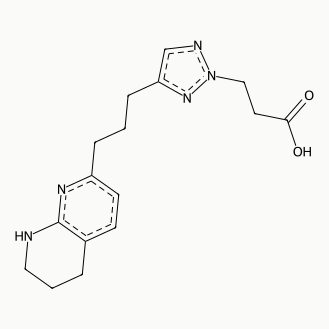 O=C(O)CCn1ncc(CCCc2ccc3c(n2)NCCC3)n1